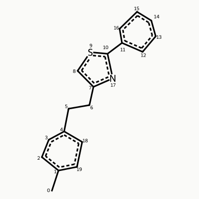 Cc1ccc(CCc2csc(-c3ccccc3)n2)cc1